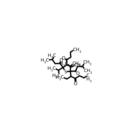 CCCC(=O)C(CC)C(SC(C(=O)CC(C)C)(C(C)C)C(CC)C(=O)CCC)(C(=O)CC(C)C)C(C)C